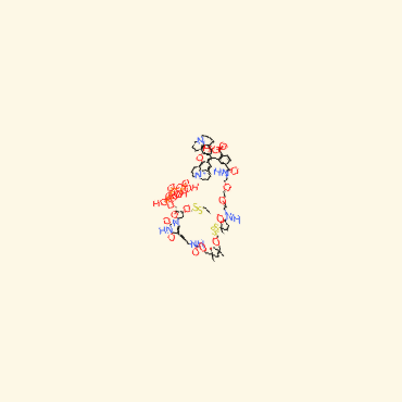 CCSSCOC1C[C@H](n2cc(C#CCNC(=O)OCC(C)(C)CC(C)(C)COCSSC(C)(C)CCC(=O)NCCOCCOCCNC(=O)c3ccc(C(=O)O)c(C4=c5cc6c7c(c5Oc5c4cc4c8c5CCCN8CCC4)CCC[N+]=7CCC6)c3)c(=O)[nH]c2=O)O[C@@H]1COP(=O)(O)OP(=O)(O)OP(=O)(O)O